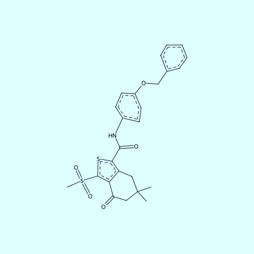 CC1(C)CC(=O)c2c(S(C)(=O)=O)sc(C(=O)Nc3ccc(OCc4ccccc4)cc3)c2C1